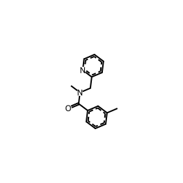 Cc1cccc(C(=O)N(C)Cc2ccccn2)c1